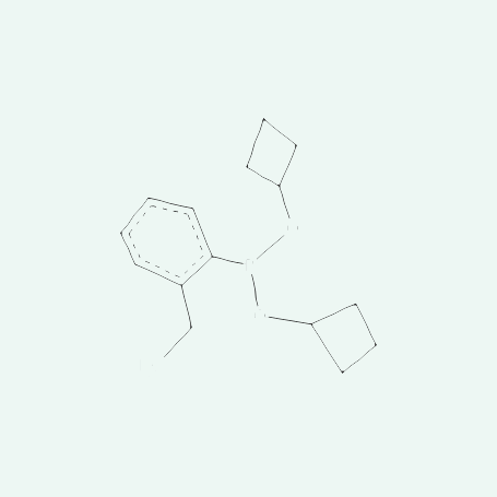 CCc1ccccc1P(OC1CCC1)OC1CCC1